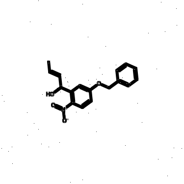 CC=CC(O)c1cc(OCc2ccccc2)ccc1[N+](=O)[O-]